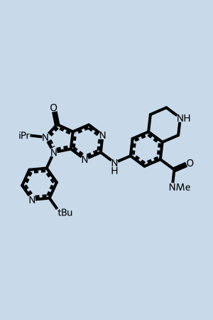 CNC(=O)c1cc(Nc2ncc3c(=O)n(C(C)C)n(-c4ccnc(C(C)(C)C)c4)c3n2)cc2c1CNCC2